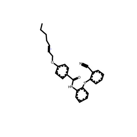 CCCC/C=C/COc1ccc(C(=O)Nc2ccccc2Sc2ccccc2C#N)cc1